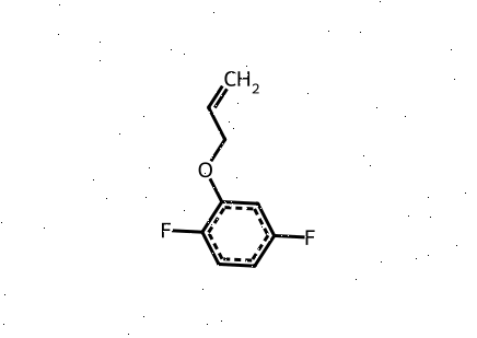 C=CCOc1cc(F)ccc1F